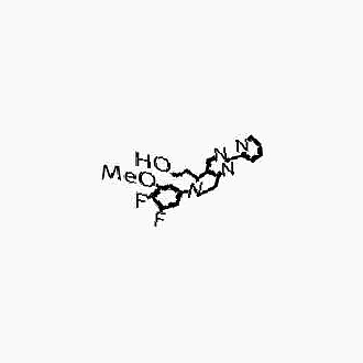 COc1cc(N2CCc3nc(-c4ccccn4)ncc3C2CCO)cc(F)c1F